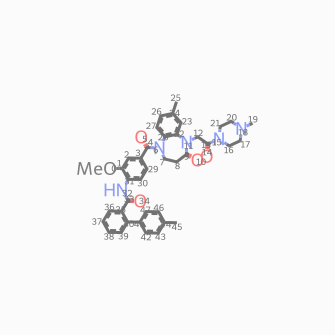 COc1cc(C(=O)N2CCC(=O)N(CC(=O)N3CCN(C)CC3)c3cc(C)ccc32)ccc1NC(=O)c1ccccc1-c1ccc(C)cc1